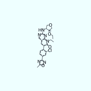 CCO[C@H]1COCC1Nc1ncc2cc(-c3ccc(-c4noc(C)n4)cc3Cl)c(=O)n(CC)c2n1